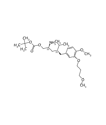 COCCCOc1cc(C[C@@H](C[C@H](N)COC(=O)OC(C)(C)C)C(C)C)ccc1OC